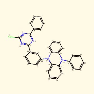 Clc1nc(-c2ccccc2)nc(-c2cccc(N3c4ccccc4N(c4ccccc4)c4ccccc43)c2)n1